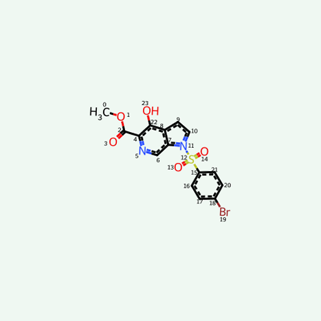 COC(=O)c1ncc2c(ccn2S(=O)(=O)c2ccc(Br)cc2)c1O